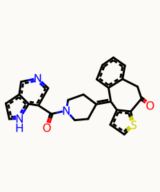 O=C1Cc2ccccc2C(=C2CCN(C(=O)c3cncc4cc[nH]c34)CC2)c2ccsc21